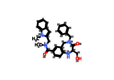 CN(Cc1cc2ccccc2n1C)C(=O)c1ccc2c(c1)CN(Cc1ccccc1)C(=O)[C@@H](CO)N2